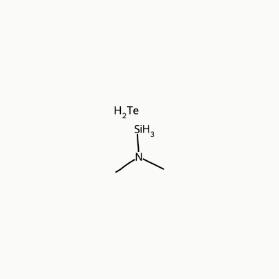 CN(C)[SiH3].[TeH2]